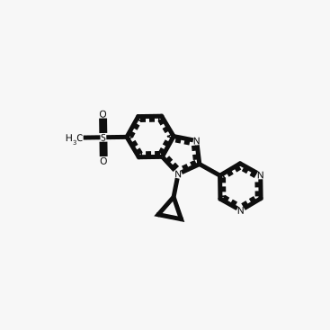 CS(=O)(=O)c1ccc2nc(-c3cncnc3)n(C3CC3)c2c1